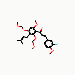 COCOc1cc(OC)c(C(=O)/C=C/c2ccc(OC)c(F)c2)c(OCOC)c1CC=C(C)C